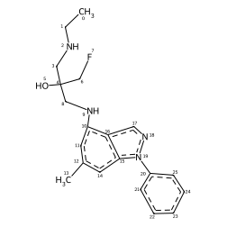 CCNCC(O)(CF)CNc1cc(C)cc2c1cnn2-c1ccccc1